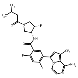 Nc1ncnn2c(-c3cc(C(=O)N[C@@H]4CN(C(=O)CC(C(F)(F)F)C(F)(F)F)C[C@@H]4F)c(F)cc3F)cc(C(F)(F)F)c12